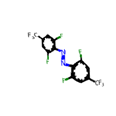 Fc1cc(C(F)(F)F)cc(F)c1N=Nc1c(F)cc(C(F)(F)F)cc1F